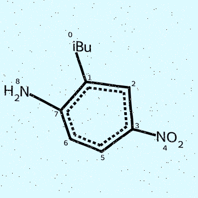 CCC(C)c1cc([N+](=O)[O-])ccc1N